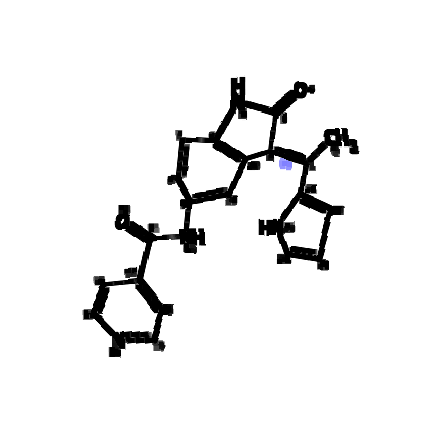 C/C(=C1\C(=O)Nc2ccc(NC(=O)c3ccncc3)cc21)c1ccc[nH]1